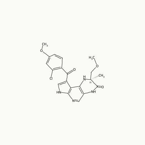 COC[C@]1(C)Nc2c(cnc3[nH]cc(C(=O)c4ccc(OC)cc4Cl)c23)NC1=O